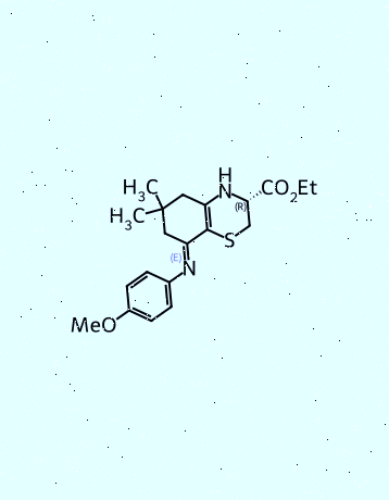 CCOC(=O)[C@@H]1CSC2=C(CC(C)(C)C/C2=N\c2ccc(OC)cc2)N1